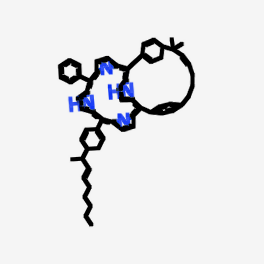 CCCCCC=CC(C)C1C=CC(c2c3nc(c4c5ccc([nH]5)c(c5nc(c(-c6ccccc6)c6ccc2[nH]6)C=C5)C2=CCC(C=C2)C(C)(C)C=CCCCc2ccc-4cc2)C=C3)=CC1